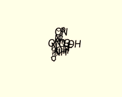 COc1cccnc1-c1cc([C@@H](C)OC)c2nc(C(=O)N3CC[C@]4(Cc5ccccc5CN4)[C@H](O)C3)cn2c1.O=C(O)C(F)(F)F